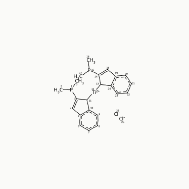 CP(C)C1=Cc2ccccc2[CH]1[Ti+2][CH]1C(P(C)C)=Cc2ccccc21.[Cl-].[Cl-]